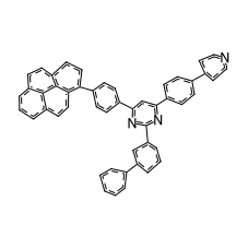 c1ccc(-c2cccc(-c3nc(-c4ccc(-c5ccncc5)cc4)cc(-c4ccc(-c5ccc6ccc7cccc8ccc5c6c78)cc4)n3)c2)cc1